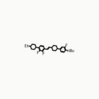 CCCCc1ccc(C2CCC(/C=C/c3ccc(C4CCC(CC)CC4)c(F)c3F)CC2)cc1F